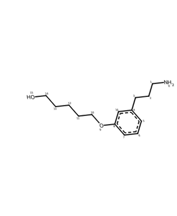 NCCCc1cccc(OCCCCCO)c1